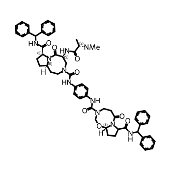 CN[C@@H](C)C(=O)N[C@H]1CN(C(=O)Nc2ccc(NC(=O)N3CCC(=O)N4C(C(=O)NC(c5ccccc5)c5ccccc5)CC[C@@H]4OC3)cc2)CC[C@H]2CC[C@@H](C(=O)NC(c3ccccc3)c3ccccc3)N2C1=O